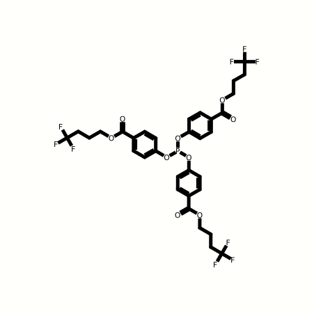 O=C(OCCCC(F)(F)F)c1ccc(OP(Oc2ccc(C(=O)OCCCC(F)(F)F)cc2)Oc2ccc(C(=O)OCCCC(F)(F)F)cc2)cc1